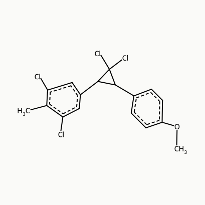 COc1ccc(C2C(c3cc(Cl)c(C)c(Cl)c3)C2(Cl)Cl)cc1